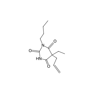 C=CCC1(CC)C(=O)NC(=O)N(CCCC)C1=O